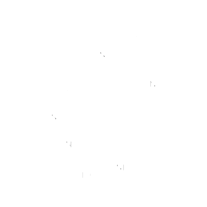 N#Cc1ccc2[nH]c(O)c(-c3cc(OCCN4CCOCC4)ncn3)c2c1